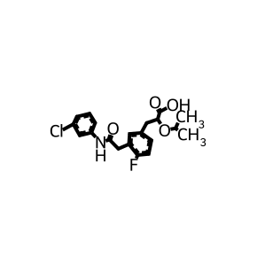 CC(C)OC(Cc1ccc(F)c(CC(=O)Nc2cccc(Cl)c2)c1)C(=O)O